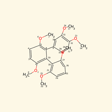 COc1[c]cc(OC)c(-c2ccc(OC)c(OC)c2)c1-c1c(OC)cccc1OC